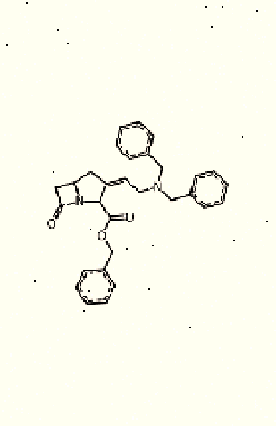 O=C(OCc1ccccc1)C1C(=CCN(Cc2ccccc2)Cc2ccccc2)CC2CC(=O)N21